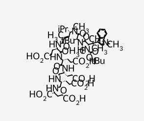 C/C(=C\[C@H](C(C)C)N(C)C(=O)[C@@H](NC(=O)[C@@H](N(C)C(=O)OC(C)(C)C)C(C)(C)c1cn(C)c2ccccc12)C(C)(C)C)C(=O)N[C@H](CCC(=O)O)C(=O)N[C@H](CCC(=O)O)C(=O)N[C@H](CCC(=O)O)C(=O)N[C@H](CCC(=O)O)C(=O)N[C@H](CCC(=O)O)C(=O)O